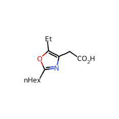 CCCCCCc1nc(CC(=O)O)c(CC)o1